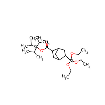 CCO[Si](OCC)(OCC)C1CC2CC1CC2C(=O)O[Si](C(C)C)(C(C)C)C(C)C